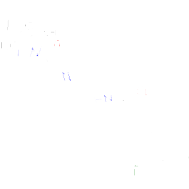 CC(C)(C)NC(=O)CN1CCC(CNC(=O)C=Cc2cc(F)cc(F)c2)CC1